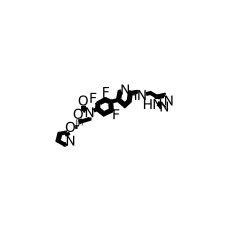 O=C1O[C@@H](COC2=NCC=C2)CN1c1cc(F)c(-c2ccc(CNCc3cnn[nH]3)nc2)c(F)c1F